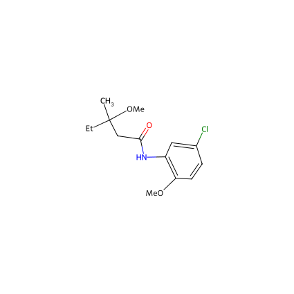 CCC(C)(CC(=O)Nc1cc(Cl)ccc1OC)OC